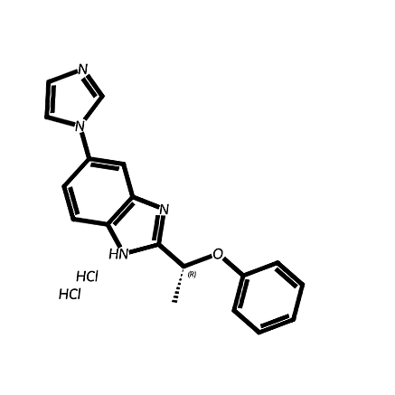 C[C@@H](Oc1ccccc1)c1nc2cc(-n3ccnc3)ccc2[nH]1.Cl.Cl